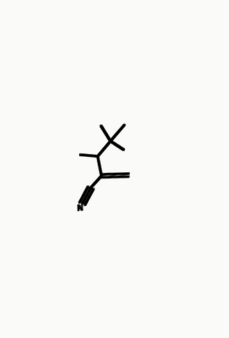 C=C(C#N)C(C)C(C)(C)C